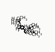 CC(C)CC(C)(N)COc1ccc(-c2ccnc(N(C(=O)OC(C)C)C(=O)OC(C)(C)C)n2)cc1C(F)(F)F